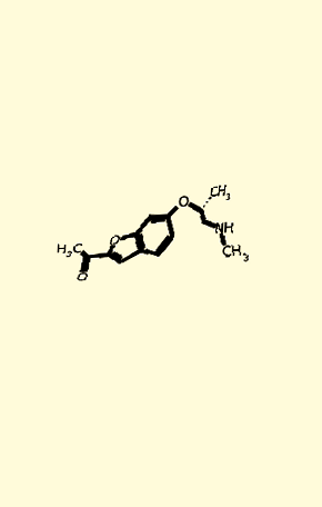 CNC[C@@H](C)Oc1ccc2cc(C(C)=O)oc2c1